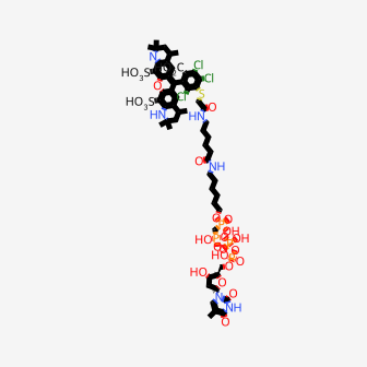 Cc1cn([C@H]2CC(O)[C@@H](COP(=O)(O)OP(=O)(O)OP(=O)(O)CP(=O)(O)OCCCCCCNC(=O)CCCCCNC(=O)CSc3c(Cl)c(Cl)c(C(=O)O)c(C4=c5cc6c(c(S(=O)(=O)O)c5Oc5c4cc4c(c5S(=O)(=O)O)NC(C)(C)CC4C)=NC(C)(C)CC6C)c3Cl)O2)c(=O)[nH]c1=O